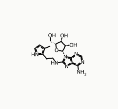 Cc1cc[nH]c1CCNc1nc2c(N)ncnc2n1[C@@H]1O[C@H](CO)[C@@H](O)[C@H]1O